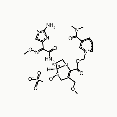 COCC1=C(C(=O)OC[n+]2cccc(C(=O)N(C)C)c2)N2C[C@@H](NC(=O)C(=NOC)c3csc(N)n3)[C@H]2[S+]([O-])C1.CS(=O)(=O)[O-]